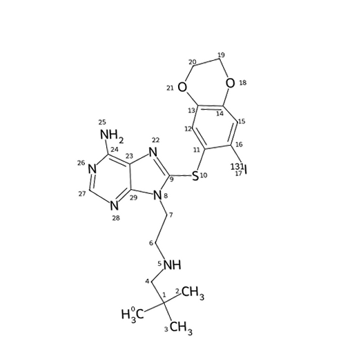 CC(C)(C)CNCCn1c(Sc2cc3c(cc2[131I])OCCO3)nc2c(N)ncnc21